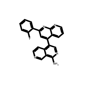 Nc1ncc(-c2cc(-c3ccccc3F)nc3ncccc23)c2ccncc12